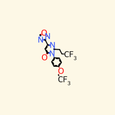 O=c1cc(-c2ncon2)nc(CCC(F)(F)F)n1-c1ccc(OCC(F)(F)F)cc1